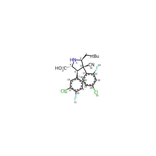 CC(C)(C)C[C@@H]1N[C@@H](C(=O)O)[C@H](c2ccc(F)c(Cl)c2)[C@@]1(C#N)c1ccc(Cl)cc1F